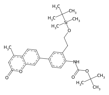 Cc1cc(=O)oc2cc(-c3ccc(NC(=O)OC(C)(C)C)c(CCO[Si](C)(C)C(C)(C)C)c3)ccc12